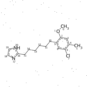 COc1cc(C)c(Cl)cc1CCCCCCc1ncc[nH]1